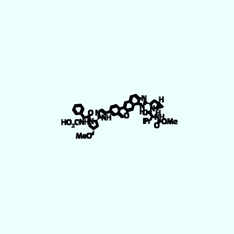 COC[C@H]1C[C@@H](c2ncc(C3=CC4=COC5=CC6C(=CC=C7N=C([C@@H]8C[C@H]9C[C@H]9N8C(=O)[C@@H](NC(=O)OC)C(C)C)NC76)C=C5C4C=C3)[nH]2)N(C(=O)[C@H](NC(=O)O)c2ccccc2)C1